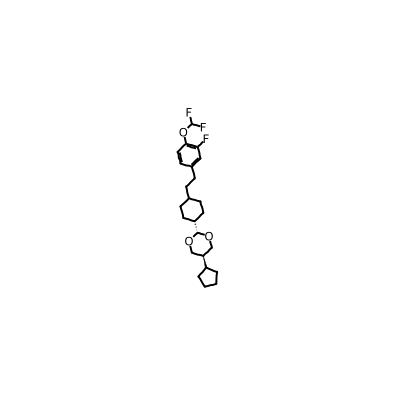 Fc1cc(CCC2CCC([C@H]3OC[C@H](C4CCCC4)CO3)CC2)ccc1OC(F)F